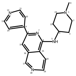 CN1CCC(Nc2nc(-c3ccncc3)cc3cnccc23)CC1